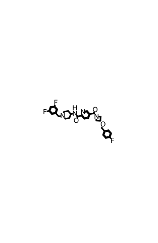 O=C(NC1CCN(Cc2cc(F)cc(F)c2)CC1)c1ccc(C(=O)N2CC(OCc3ccc(F)cc3)C2)cn1